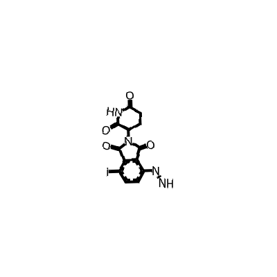 N=Nc1ccc(I)c2c1C(=O)N(C1CCC(=O)NC1=O)C2=O